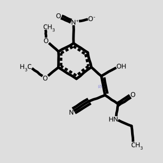 CCNC(=O)/C(C#N)=C(\O)c1cc(OC)c(OC)c([N+](=O)[O-])c1